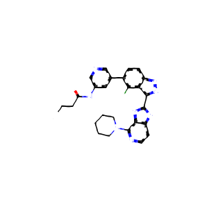 CCCC(=O)Nc1cncc(-c2ccc3[nH]nc(-c4nc5c(N6CCCCC6)nccc5[nH]4)c3c2F)c1